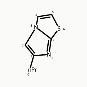 CCCc1cn2ccsc2n1